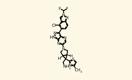 Cc1csc(C2(CN)[C@@H]3CN(c4cnc5c(-c6ccc7nn(C(F)F)cc7c6Cl)n[nH]c5n4)C[C@@H]32)n1